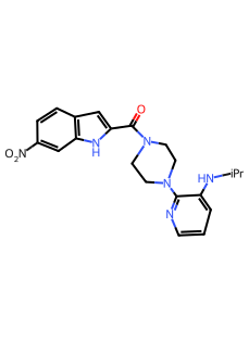 CC(C)Nc1cccnc1N1CCN(C(=O)c2cc3ccc([N+](=O)[O-])cc3[nH]2)CC1